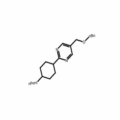 CCCCCC1CCC(c2ncc(COCCCC)cn2)CC1